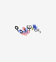 Cn1nnnc1SCC1=C(C(=O)O)N2C(=O)[C@@H](Nc3cc[n+](Cc4ccccc4)cc3)C2OC1.[OH-]